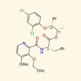 COc1ccnc(C(=O)N[C@@H](CC(C)C)C(=O)O[C@@H](C)[C@H](Oc2ccc(Cl)cc2Cl)C(C)C)c1OCOC(C)=O